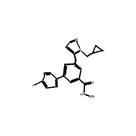 CC(C)(C)NC(=O)c1cc(-c2ccc(F)cc2)cc(-c2ccnn2CC2CC2)c1